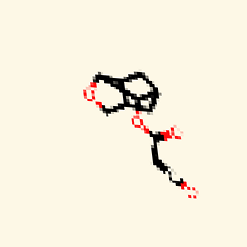 O=C=CC(=O)OC1C2CC3COC1C3C2